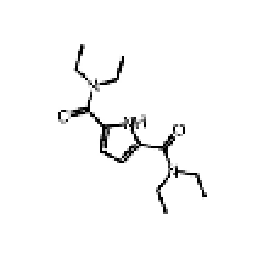 CCN(CC)C(=O)c1ccc(C(=O)N(CC)CC)[nH]1